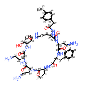 CC(C)C[C@@H]1NC(=O)[C@@H](Cc2ccccc2)NC(=O)[C@H](CCN)NC(=O)[C@@H](NC(=O)Cc2ccc(C(C)(C)C)cc2)CCNC(=O)[C@H]([C@@H](C)O)NC(=O)[C@H](CCN)NC(=O)[C@H](CCN)NC1=O